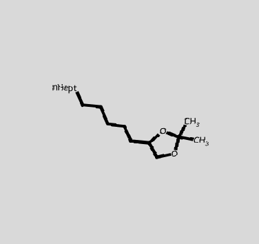 CCCCCCCCCCCCC1COC(C)(C)O1